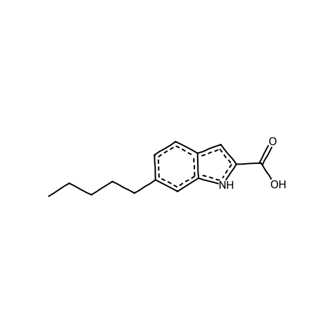 CCCCCc1ccc2cc(C(=O)O)[nH]c2c1